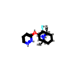 F[C@H]1[C@@H](Oc2cccnn2)C[C@@H]2CCC[C@H]1N2